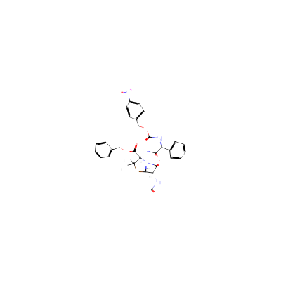 CC1(C)S[C@@H]2[C@H](NC=O)C(=O)N2[C@@]1(NC(=O)C(NC(=O)OCc1ccc([N+](=O)[O-])cc1)c1ccccc1)C(=O)OCc1ccccc1